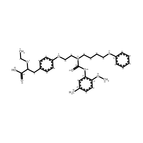 CCOC(Cc1ccc(OCCN(CCCCSc2ccccc2)C(=O)Oc2cc(C)ccc2OC)cc1)C(=O)O